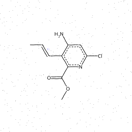 C/C=C/c1c(N)cc(Cl)nc1C(=O)OC